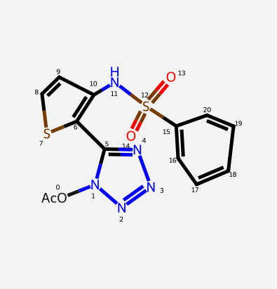 CC(=O)On1nnnc1-c1sccc1NS(=O)(=O)c1ccccc1